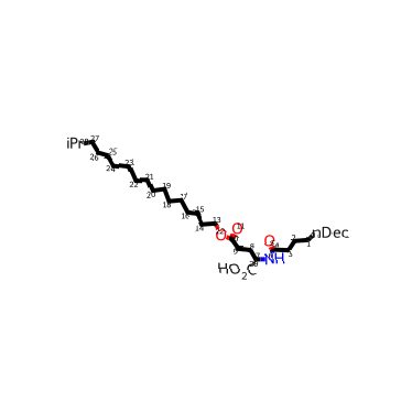 CCCCCCCCCCCCCC(=O)N[C@@H](CCC(=O)OCCCCCCCCCCCCCCCC(C)C)C(=O)O